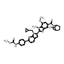 COC(=O)Nc1ccc(-c2ccc3cc(-c4nc5cc(C(=O)N6CC7CCC6C7N)cc(OC)c5n4C)n(CC4CC4)c3n2)cc1